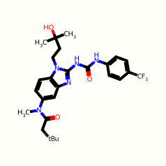 CN(C(=O)CC(C)(C)C)c1ccc2c(c1)nc(NC(=O)Nc1ccc(C(F)(F)F)cc1)n2CCC(C)(C)O